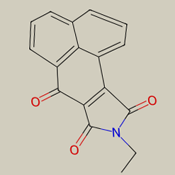 CCN1C(=O)C2=C(C1=O)c1cccc3cccc(c13)C2=O